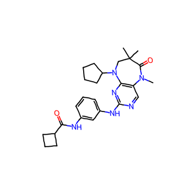 CN1C(=O)C(C)(C)CN(C2CCCC2)c2nc(Nc3cccc(NC(=O)C4CCC4)c3)ncc21